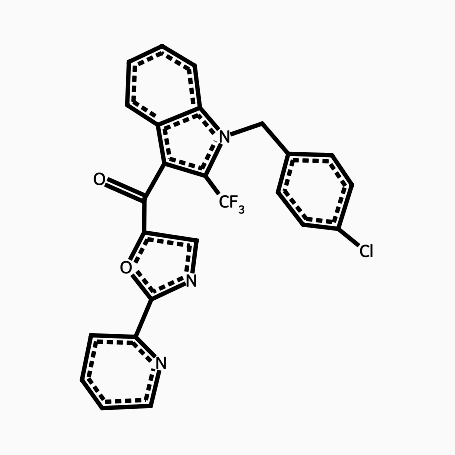 O=C(c1cnc(-c2ccccn2)o1)c1c(C(F)(F)F)n(Cc2ccc(Cl)cc2)c2ccccc12